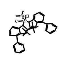 C[SiH](C)[Zr]([Cl])([Cl])([CH]1C(C(C)(C)C)=Cc2c(-c3ccccc3)cccc21)[CH]1C(C(C)(C)C)=Cc2c(-c3ccccc3)cccc21